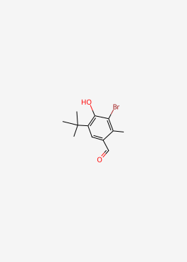 Cc1c(C=O)cc(C(C)(C)C)c(O)c1Br